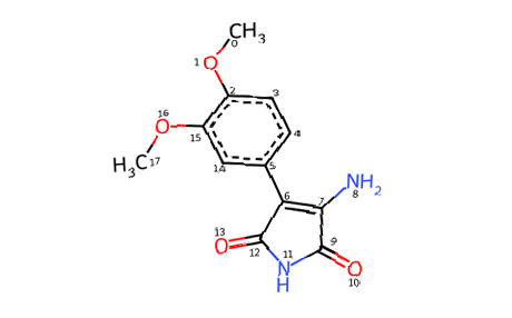 COc1ccc(C2=C(N)C(=O)NC2=O)cc1OC